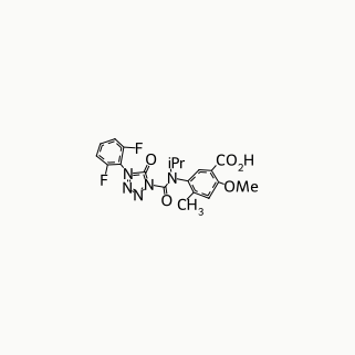 COc1cc(C)c(N(C(=O)n2nnn(-c3c(F)cccc3F)c2=O)C(C)C)cc1C(=O)O